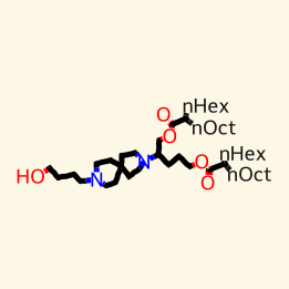 CCCCCCCCC(CCCCCC)C(=O)OCCCC(COC(=O)C(CCCCCC)CCCCCCCC)N1CCC2(CCN(CCCCO)CC2)CC1